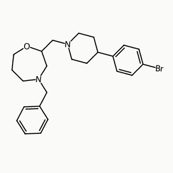 Brc1ccc(C2CCN(CC3CN(Cc4ccccc4)CCCO3)CC2)cc1